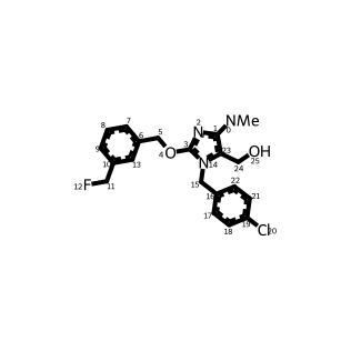 CNc1nc(OCc2cccc(CF)c2)n(Cc2ccc(Cl)cc2)c1CO